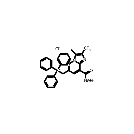 CNC(=O)c1cc(C[P+](c2ccccc2)(c2ccccc2)c2ccccc2)nn2c(C)c(C(F)(F)F)nc12.[Cl-]